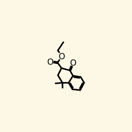 CCOC(=O)C1CC(C)(C)c2ccccc2C1=O